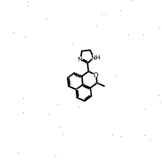 CC1OC(C2=NCCN2)c2cccc3cccc1c23